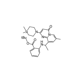 Cc1cc(C(C)Nc2ccccc2C(=O)OC(C)(C)C)c2nc(N3CC[Si](C)(C)CC3)cc(=O)n2c1